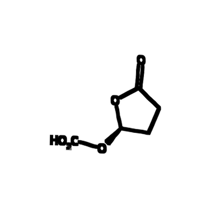 O=C(O)O[C@@H]1CCC(=O)O1